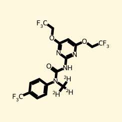 [2H]C([2H])([2H])N(C(=O)Nc1nc(OCC(F)(F)F)cc(OCC(F)(F)F)n1)c1ccc(C(F)(F)F)cc1